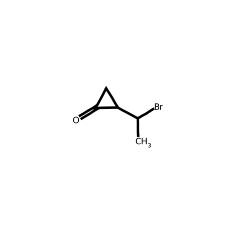 CC(Br)C1CC1=O